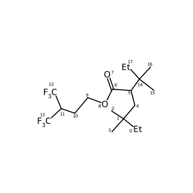 CCC(C)(C)CC(C(=O)OCCC(C(F)(F)F)C(F)(F)F)C(C)(C)CC